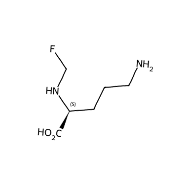 NCCC[C@H](NCF)C(=O)O